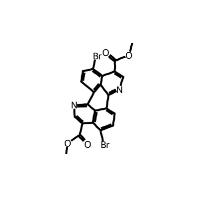 COC(=O)c1cnc2c3ccc(Br)c4c(C(=O)OC)cnc(c5ccc(Br)c1c52)c43